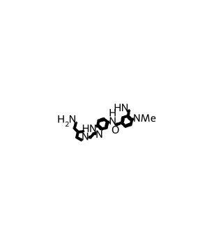 CNc1ccc(C(=O)Nc2ccc3[nH]c(CN4CCC(CCN)C4)nc3c2)cc1C=N